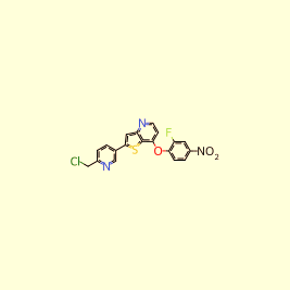 O=[N+]([O-])c1ccc(Oc2ccnc3cc(-c4ccc(CCl)nc4)sc23)c(F)c1